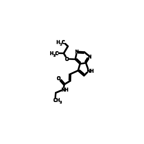 CCNC(=O)C=Cc1c[nH]c2ncnc(OC(C)CC)c12